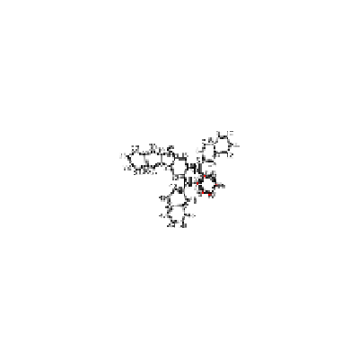 c1ccc(N(c2ccc3ccccc3c2)c2cc3sc4cc5ccccc5cc4c3cc2N(c2ccccc2)c2ccc3ccccc3c2)cc1